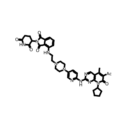 CC(=O)c1c(C)c2cnc(Nc3ccc(N4CCN(CCNc5cccc6c5C(=O)N(C5CCC(=O)NC5=O)C6=O)CC4)cn3)nc2n(C2CCCC2)c1=O